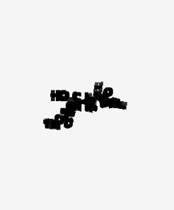 CC(C)(C)OC(=O)Nc1nc(C(=NOC(C)(C)C(=O)OC(C)(C)C)C(=O)O)ns1